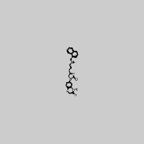 O=C1CSc2ccc(N3CC(CCCNCc4cccc5ccccc45)OC3=O)cc2N1